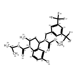 COC(=O)N(Cc1cc(C(F)(F)F)cc(C(F)(F)F)c1)C1CC(C)N(C(=O)OC(C)C)c2ccc(Cl)cc21